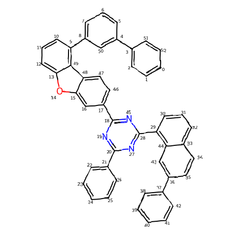 c1ccc(-c2cccc(-c3cccc4oc5cc(-c6nc(-c7ccccc7)nc(-c7cccc8ccc(-c9ccccc9)cc78)n6)ccc5c34)c2)cc1